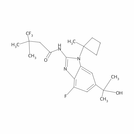 CC(C)(O)c1cc(F)c2nc(NC(=O)CC(C)(C)C(F)(F)F)n(C3(C)CCC3)c2c1